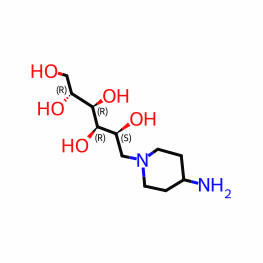 NC1CCN(C[C@H](O)[C@@H](O)[C@H](O)[C@H](O)CO)CC1